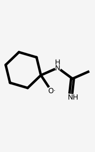 CC(=N)NC1([O])CCCCC1